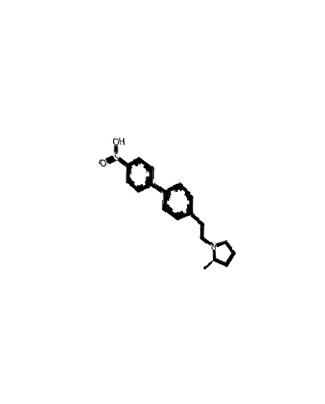 C[C@@H]1CCCN1CCc1ccc(-c2ccc(S(=O)O)cc2)cc1